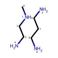 CNCCN.NCCCN